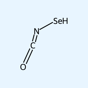 O=C=N[SeH]